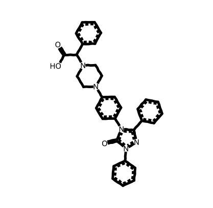 O=C(O)C(c1ccccc1)N1CCN(c2ccc(-n3c(-c4ccccc4)nn(-c4ccccc4)c3=O)cc2)CC1